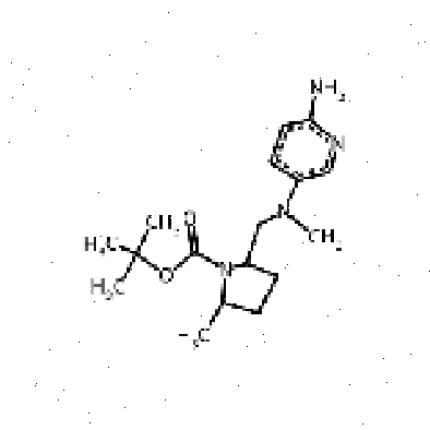 CC1CCC(CN(C)c2ccc(N)nc2)N1C(=O)OC(C)(C)C